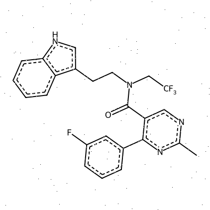 Cc1ncc(C(=O)N(CCc2c[nH]c3ccccc23)CC(F)(F)F)c(-c2cccc(F)c2)n1